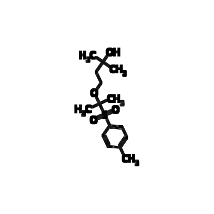 Cc1ccc(S(=O)(=O)C(C)(C)OCCC(C)(C)O)cc1